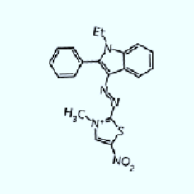 CCn1c(-c2ccccc2)c(N=Nc2sc([N+](=O)[O-])c[n+]2C)c2ccccc21